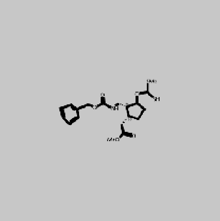 COC(=O)C[C@H]1CCC(OC(S)SC)[C@H]1CNC(=O)OCc1ccccc1